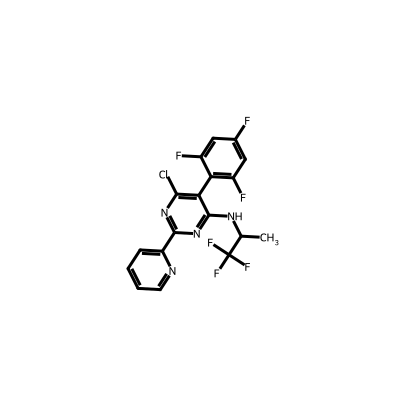 CC(Nc1nc(-c2ccccn2)nc(Cl)c1-c1c(F)cc(F)cc1F)C(F)(F)F